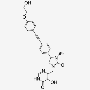 CC(C)N1C(c2ccc(C#Cc3ccc(OCCO)cc3)cc2)CN(Cc2nc[nH]c(=O)c2O)C1O